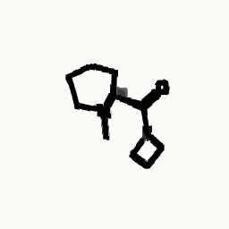 CN1CCCC[C@H]1C(=O)N1CCC1